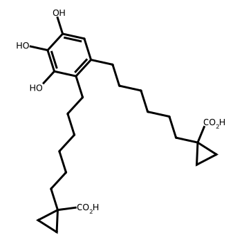 O=C(O)C1(CCCCCCc2cc(O)c(O)c(O)c2CCCCCCC2(C(=O)O)CC2)CC1